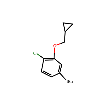 CC(C)(C)c1ccc(Cl)c(OCC2CC2)c1